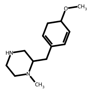 COC1C=CC(CC2CNCCN2C)=CC1